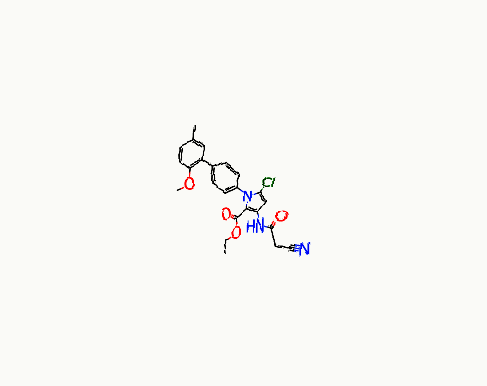 CCOC(=O)c1c(NC(=O)CC#N)cc(Cl)n1-c1ccc(-c2cc(C)ccc2OC)cc1